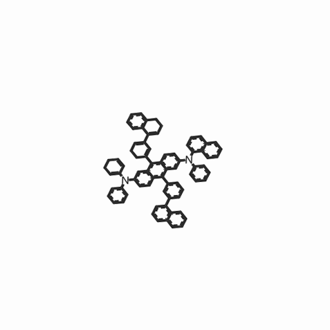 C1=CC(N(c2ccccc2)c2ccc3c(-c4cccc(-c5cccc6ccccc56)c4)c4cc(N(c5ccccc5)c5cccc6ccccc56)ccc4c(C4=CC(C5=CCCc6ccccc65)=CCC4)c3c2)=CCC1